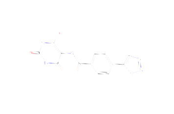 O=C(Nc1c(O)[nH]c(=O)[nH]c1=O)c1ccc(-c2cnn[nH]2)cc1